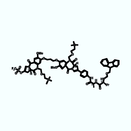 COc1cc2c(cc1OCCCOc1cc3c(cc1OC)C(=O)N1C=C(c4ccc(NC(=O)[C@H](C)NC(=O)[C@@H](NCOCC5c6ccccc6-c6ccccc65)C(C)C)cc4)C[C@H]1C(=O)N3COCC[Si](C)(C)C)N(COCC[Si](C)(C)C)C(=O)[C@@H]1CC(OS(=O)(=O)C(F)(F)F)=CN1C2=O